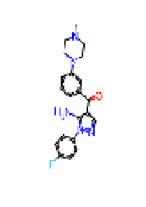 CN1CCN(c2cccc(C(=O)c3cnn(-c4ccc(F)cc4)c3N)c2)CC1